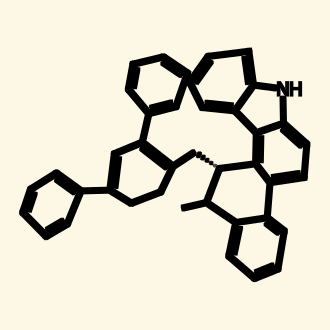 CC1c2ccccc2-c2ccc3[nH]c4ccccc4c3c2[C@H]1CC1=C(c2ccccc2)C=C(c2ccccc2)CC1